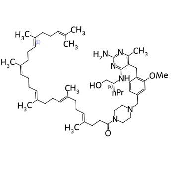 CCC[C@@H](CO)Nc1nc(N)nc(C)c1Cc1ccc(CN2CCN(C(=O)CCC(C)=CCCC(C)=CCCC(C)=CCCC=C(C)CC/C=C(\C)CCC=C(C)C)CC2)cc1OC